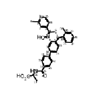 Cc1cc(C(C[C@@H](c2ccc(-c3ccc(C(=O)NC(C)C(=O)O)cc3)cc2)c2ccccc2C)=NO)ccn1